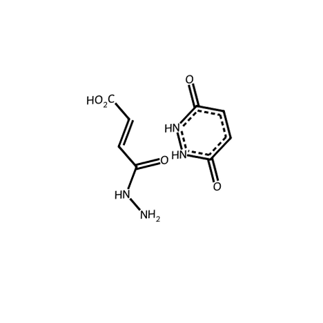 NNC(=O)C=CC(=O)O.O=c1ccc(=O)[nH][nH]1